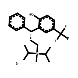 CC(C)[N+](C)(CC[C@H](c1ccccc1)c1cc(C(F)(F)F)ccc1O)C(C)C.[Br-]